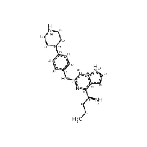 CCCC(=N)c1nc(Nc2ccc(N3CCNCC3)cc2)nc2[nH]ccc12